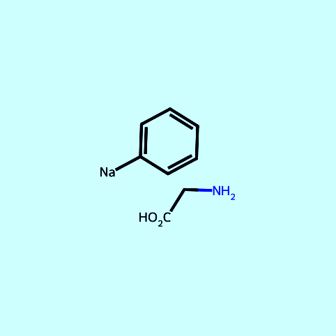 NCC(=O)O.[Na][c]1ccccc1